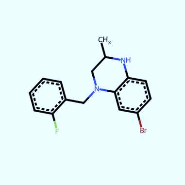 CC1CN(Cc2ccccc2F)c2cc(Br)ccc2N1